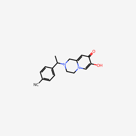 CC(c1ccc(C#N)cc1)N1CCn2cc(O)c(=O)cc2C1